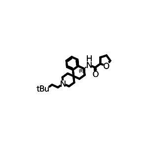 CC(C)(C)CCN1CCC2(CC[C@@H](NC(=O)C3CCCO3)c3ccccc32)CC1